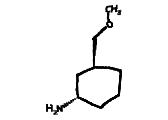 COC[C@H]1CCC[C@H](N)C1